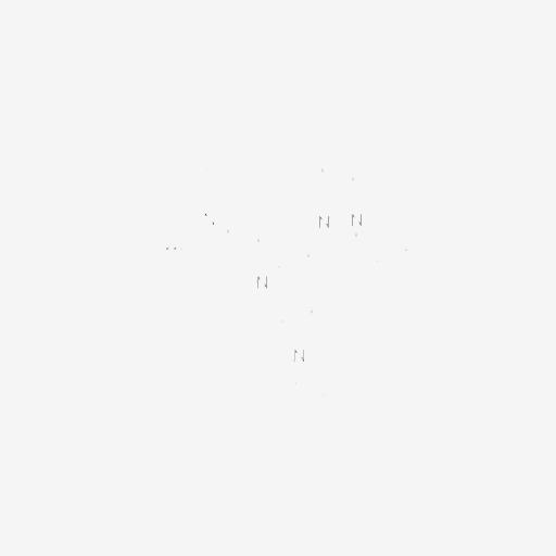 Cc1cccc(-c2ccc3c(c2)c2ccccc2n3-c2c(-c3ccc(-n4c5ccccc5c5ccccc54)cc3)cc(-c3cc(-c4ccccc4)nc(-c4ccccc4)n3)cc2-c2ccc(-n3c4ccccc4c4ccccc43)cc2)c1